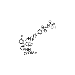 COC(=O)N[C@H]1CCC[C@@H]1C(CN1CCC1)(c1cccc(F)c1)C1CCN(CC2(F)CN(c3ccc(S(=O)(=O)C4CN(C(=O)C5(O)CC5)C4)cc3)C2)CC1